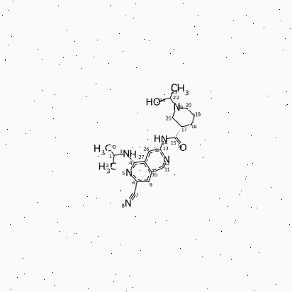 CC(C)Nc1nc(C#N)cc2cnc(NC(=O)[C@H]3CCCN(C(C)O)C3)cc12